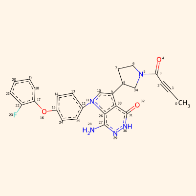 CC#CC(=O)N1CCC(c2cn(-c3ccc(Oc4ccccc4F)cc3)c3c(N)n[nH]c(=O)c23)C1